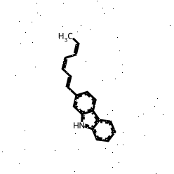 C\C=C/C=C\C=C\c1ccc2c(c1)[nH]c1ccccc12